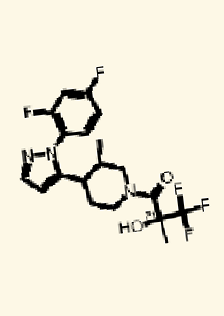 CC1CN(C(=O)[C@@](C)(O)C(F)(F)F)CCC1c1ccnn1-c1ccc(F)cc1F